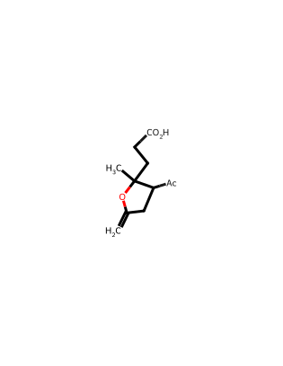 C=C1CC(C(C)=O)C(C)(CCC(=O)O)O1